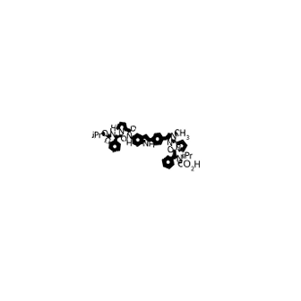 CC(C)OC(=O)N[C@H](C(=O)N1CCCC1C(=O)Nc1ccc2[nH]c(-c3ccc(-c4cn(C)c([C@@H]5CCCN5C(=O)[C@@H](c5ccccc5)N(C(=O)O)C(C)C)n4)cc3)cc2c1)c1ccccc1